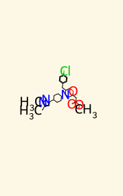 CCc1cc(C2CCC(N3CC(CC(=O)OC)OCC3Cc3ccc(Cl)cc3)CC2)nn1C